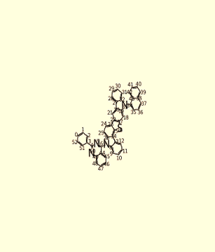 c1ccc(-c2nc(-n3c4ccccc4c4c5sc6cc7c(cc6c5ccc43)c3ccccc3n7-c3cccc4ccccc34)c3ccccc3n2)cc1